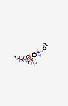 C=CC(=O)NC1CC(C)(C)N(S(=O)(=O)c2ccc(C(=O)NCCc3cccc(C)c3)cc2)C1(C)C